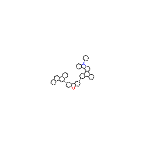 c1ccc(-n2c3ccccc3c3c4c(ccc32)c2ccccc2c2cc(-c3ccc5oc6ccc(-c7cc8c9ccccc9ccc8c8ccccc78)cc6c5c3)ccc24)cc1